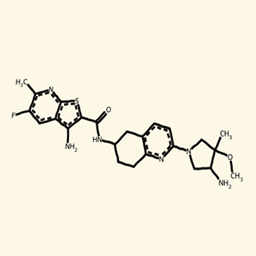 COC1(C)CN(c2ccc3c(n2)CCC(NC(=O)c2sc4nc(C)c(F)cc4c2N)C3)CC1N